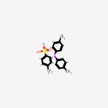 FC(F)(F)c1ccc([I+]c2ccc(C(F)(F)F)cc2)cc1.O=S(=O)([O-])c1ccc(C(F)(F)F)cc1